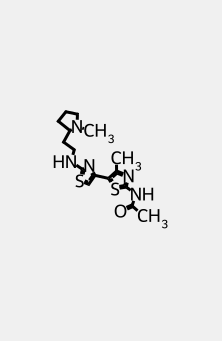 CC(=O)Nc1nc(C)c(-c2csc(NCCC3CCCN3C)n2)s1